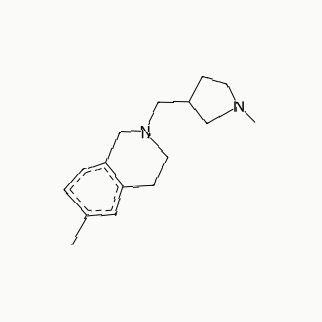 Cc1ccc2c(c1)CCN(CC1CCN(C)C1)C2